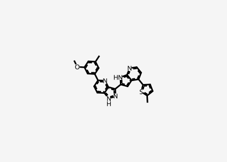 COc1cc(C)cc(-c2ccc3[nH]nc(-c4cc5c(-c6ccc(C)s6)ccnc5[nH]4)c3n2)c1